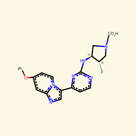 CC(C)Oc1ccn2c(-c3ccnc(N[C@H]4CN(C(=O)O)C[C@@H]4F)n3)cnc2c1